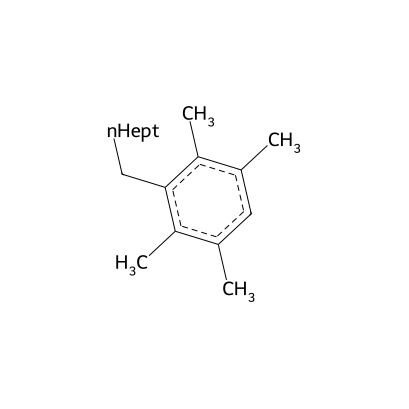 [CH2]CCCCCCCc1c(C)c(C)cc(C)c1C